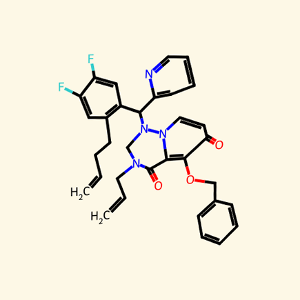 C=CCCc1cc(F)c(F)cc1C(c1ccccn1)N1CN(CC=C)C(=O)c2c(OCc3ccccc3)c(=O)ccn21